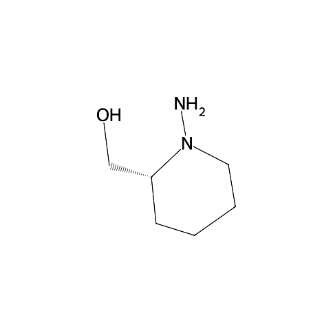 NN1CCCC[C@@H]1CO